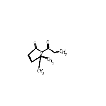 CCC(=O)N1C(=O)CCC1(C)C